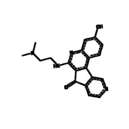 CN(C)CCNc1nc2cc(O)ccc2c2c1C(=O)c1ccncc1-2